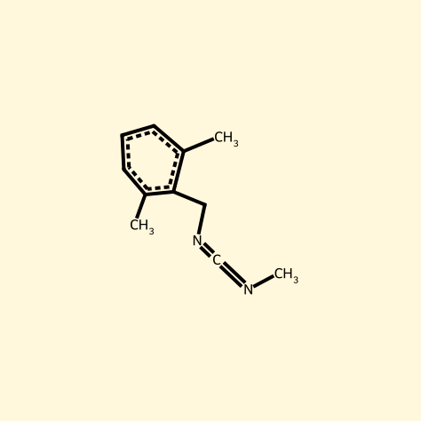 CN=C=NCc1c(C)cccc1C